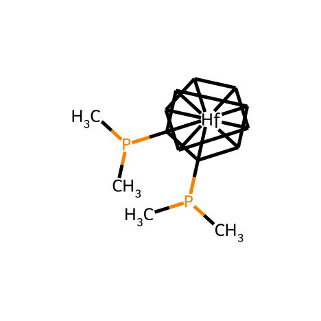 CP(C)[C]12[CH]3[CH]4[CH]5[C]1(P(C)C)[Hf]43521678[CH]2[CH]1[CH]6[CH]7[CH]28